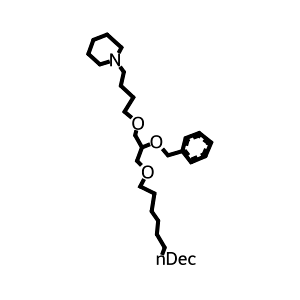 CCCCCCCCCCCCCCCCOCC(COCCCCN1CCCCC1)OCc1ccccc1